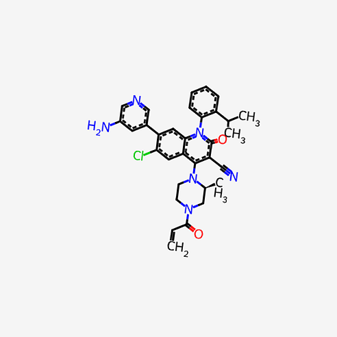 C=CC(=O)N1CCN(c2c(C#N)c(=O)n(-c3ccccc3C(C)C)c3cc(-c4cncc(N)c4)c(Cl)cc23)[C@@H](C)C1